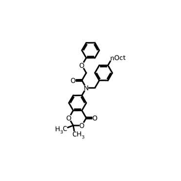 CCCCCCCCc1ccc(CN(C(=O)COc2ccccc2)c2ccc3c(c2)C(=O)OC(C)(C)O3)cc1